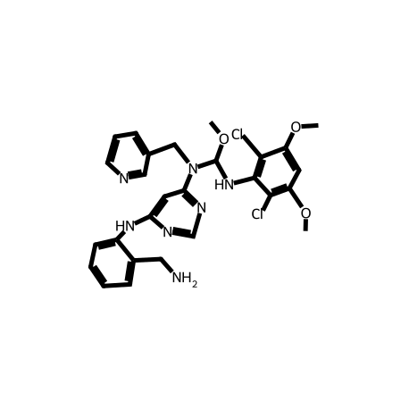 COc1cc(OC)c(Cl)c(NC(OC)N(Cc2cccnc2)c2cc(Nc3ccccc3CN)ncn2)c1Cl